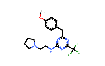 COc1ccc(Cc2nc(NCCN3CCCC3)nc(C(Cl)(Cl)Cl)n2)cc1